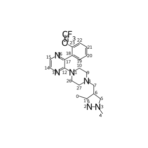 CC1=NN(C)CC1CN1CCN(c2nccnc2-c2ccccc2OC(F)(F)F)CC1